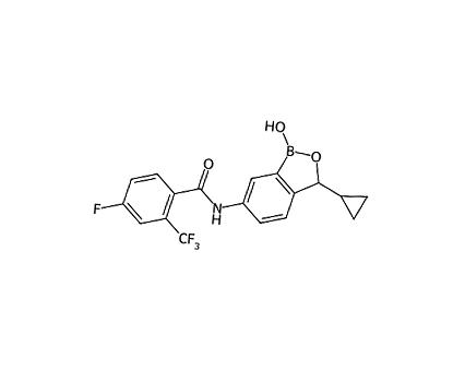 O=C(Nc1ccc2c(c1)B(O)OC2C1CC1)c1ccc(F)cc1C(F)(F)F